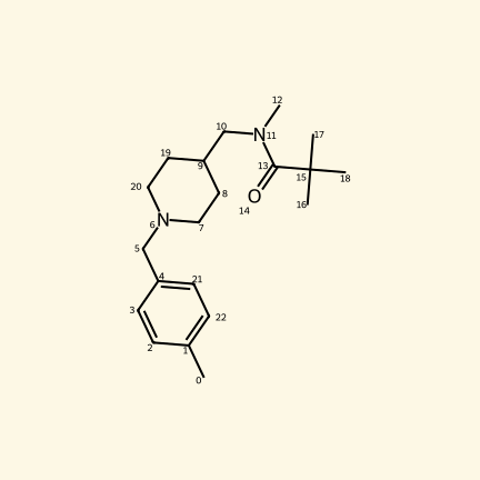 Cc1ccc(CN2CCC(CN(C)C(=O)C(C)(C)C)CC2)cc1